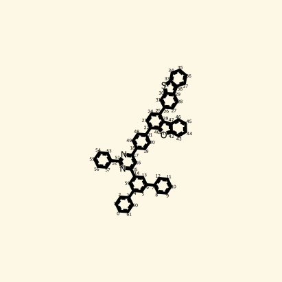 c1ccc(-c2cc(-c3ccccc3)cc(-c3cc(-c4ccc(-c5ccc(-c6ccc7c(c6)sc6ccccc67)c6c5oc5ccccc56)cc4)nc(-c4ccccc4)n3)c2)cc1